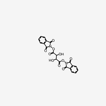 O=C(ON1C(=O)c2ccccc2C1=O)C(O)C(O)C(=O)ON1C(=O)c2ccccc2C1=O